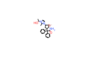 Cc1n([C@H]2CC[C@@H](C(C(N)=O)(c3ccccc3)c3ccccc3)C2)cc[n+]1C(C)O.[Br-]